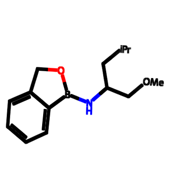 COCC(CC(C)C)NB1OCc2ccccc21